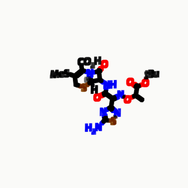 CSC1=C(C(=O)O)N2C(=O)C(NC(=O)C(=NOC(C)C(=O)OC(C)(C)C)c3nsc(N)n3)[C@@H]2SC1